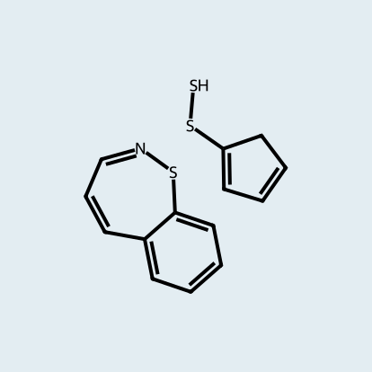 C1=Cc2ccccc2SN=C1.SSC1=CC=CC1